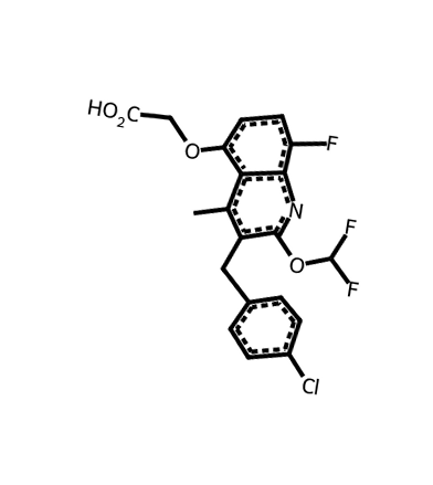 Cc1c(Cc2ccc(Cl)cc2)c(OC(F)F)nc2c(F)ccc(OCC(=O)O)c12